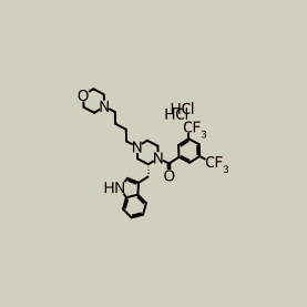 Cl.Cl.O=C(c1cc(C(F)(F)F)cc(C(F)(F)F)c1)N1CCN(CCCCN2CCOCC2)C[C@H]1Cc1c[nH]c2ccccc12